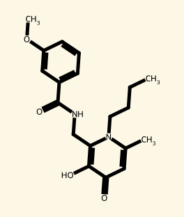 CCCCn1c(C)cc(=O)c(O)c1CNC(=O)c1cccc(OC)c1